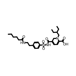 CCCCCC(=O)NCCc1ccc(S(=O)(=O)NC(=O)C2=CC=C(C(=O)O)N(CC(CC)CC)C2)cc1